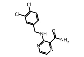 NC(=O)c1nccnc1NCc1ccc(Cl)c(Cl)c1